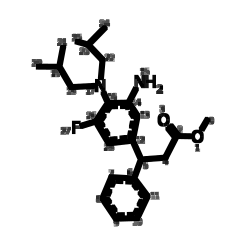 COC(=O)CC(c1ccccc1)c1cc(N)c(N(CC(C)C)CC(C)C)c(F)c1